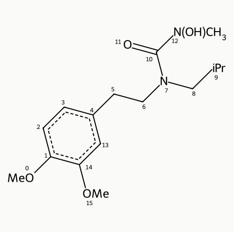 COc1ccc(CCN(CC(C)C)C(=O)N(C)O)cc1OC